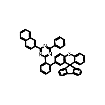 c1ccc(-c2nc(-c3ccc4ccccc4c3)nc(-c3ccccc3-c3ccc4c(c3)C3(c5ccccc5S4)c4ccccc4-c4ccccc43)n2)cc1